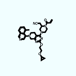 C=CC(=O)N1CCN(c2nc(OCCOC3CC3)nc3c2CCN(c2cncc4cccc(C)c24)C3)CC1CC#N